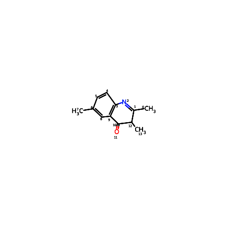 CC1=Nc2ccc(C)cc2C(=O)C1C